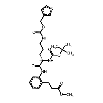 COC(=O)CCc1ccccc1NC(=O)[C@H](CCCNC(=O)OCc1ccsc1)NC(=O)OC(C)(C)C